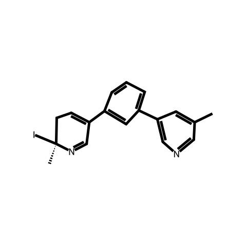 Cc1cncc(-c2cccc(C3=CC[C@](C)(I)N=C3)c2)c1